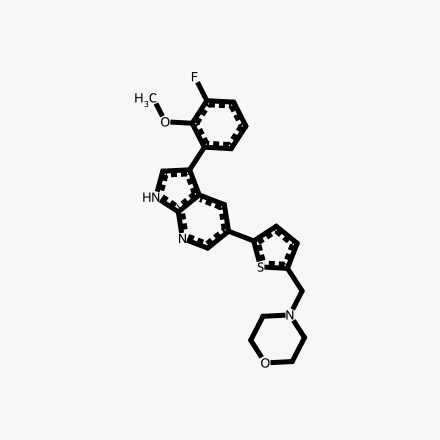 COc1c(F)cccc1-c1c[nH]c2ncc(-c3ccc(CN4CCOCC4)s3)cc12